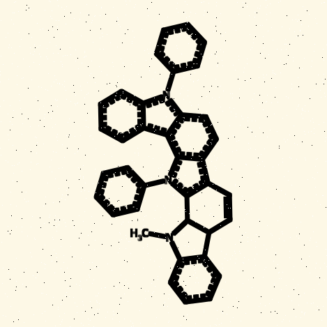 CN1c2ccccc2C2C=Cc3c(n(-c4ccccc4)c4c3ccc3c4c4ccccc4n3-c3ccccc3)C21